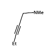 CCC#CCNC